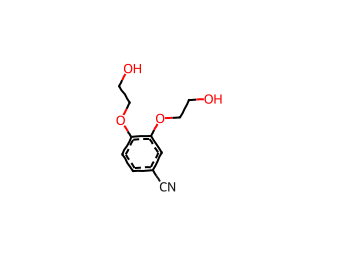 N#Cc1ccc(OCCO)c(OCCO)c1